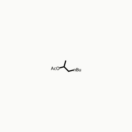 CCCCCC(C)OC(C)=O